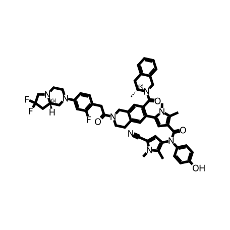 Cc1c(N(C(=O)c2cc(-c3cc4c(cc3C(=O)N3Cc5ccccc5C[C@H]3C)CN(C(=O)Cc3ccc(N5CCN6CC(F)(F)C[C@H]6C5)cc3F)CC4)n(C)c2C)c2ccc(O)cc2)cc(C#N)n1C